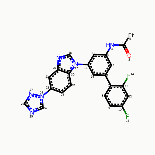 CCC(=O)Nc1cc(-c2ccc(F)cc2F)cc(-n2cnc3cc(-n4cncn4)ccc32)c1